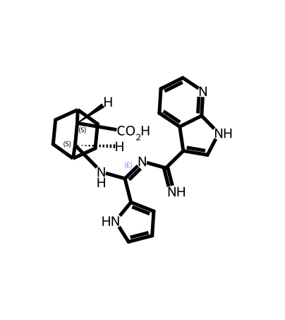 N=C(/N=C(/N[C@H]1C2CCC(CC2)[C@@H]1C(=O)O)c1ccc[nH]1)c1c[nH]c2ncccc12